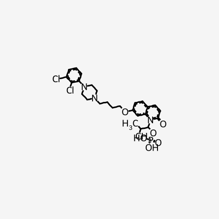 CC(C)C(OP(=O)(O)O)n1c(=O)ccc2ccc(OCCCCN3CCN(c4cccc(Cl)c4Cl)CC3)cc21